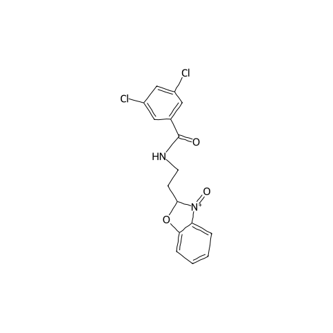 O=C(NCCC1Oc2ccccc2[N+]1=O)c1cc(Cl)cc(Cl)c1